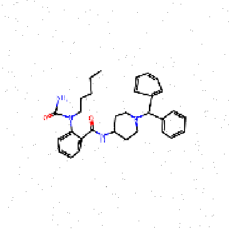 CCCCCN(C(N)=O)c1ccccc1C(=O)NC1CCN(C(c2ccccc2)c2ccccc2)CC1